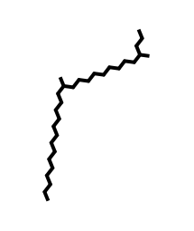 CCCCCCCCCCCCCCC(C)CCCCCCCCCC(C)CCC